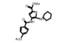 COC(=O)c1cc(NC(=O)c2ccc(OC(C)=O)cc2)c(NC2CCCCC2)s1